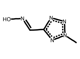 Cn1nnc(/C=N/O)n1